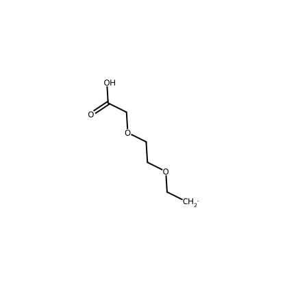 [CH2]COCCOCC(=O)O